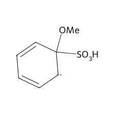 COC1(S(=O)(=O)O)[CH]C=CC=C1